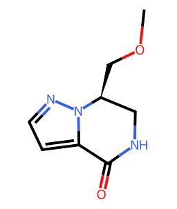 COC[C@H]1CNC(=O)c2ccnn21